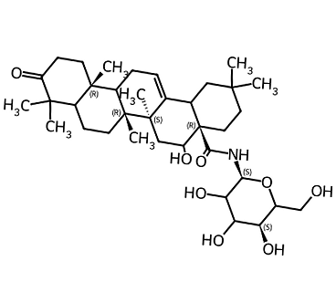 CC1(C)CC[C@]2(C(=O)N[C@H]3OC(CO)[C@@H](O)C(O)C3O)C(O)C[C@]3(C)C(=CCC4[C@@]5(C)CCC(=O)C(C)(C)C5CC[C@]43C)C2C1